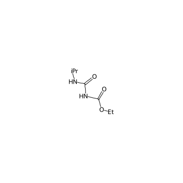 CCOC(=O)NC(=O)NC(C)C